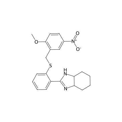 COc1ccc([N+](=O)[O-])cc1CSc1ccccc1C1=NC2CCCCC2N1